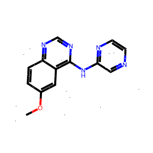 COc1ccc2ncnc(Nc3cnccn3)c2c1